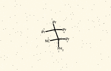 CC(C)C(P)(C#N)C(C(C)C)(C(C)C)C(C)C